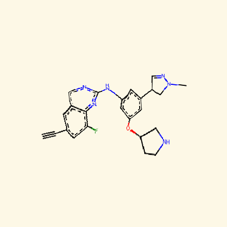 C#Cc1cc(F)c2nc(Nc3cc(O[C@@H]4CCNC4)cc(C4C=NN(C)C4)c3)ncc2c1